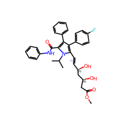 COC(=O)C[C@H](O)C[C@H](O)/C=C/c1c(-c2ccc(F)cc2)c(-c2ccccc2)c(C(=O)Nc2ccccc2)n1C(C)C